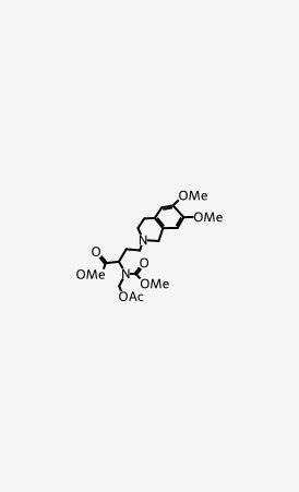 COC(=O)C(CCN1CCc2cc(OC)c(OC)cc2C1)N(COC(C)=O)C(=O)OC